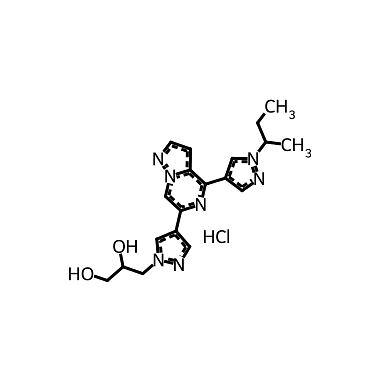 CCC(C)n1cc(-c2nc(-c3cnn(CC(O)CO)c3)cn3nccc23)cn1.Cl